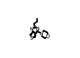 CCCc1nc(N2CCOCC2)c2cscc2n1